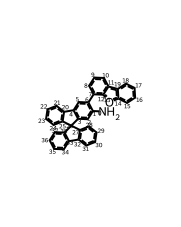 Nc1cc2c(cc1-c1cccc3c1oc1ccccc13)-c1ccccc1C21c2ccccc2-c2ccccc21